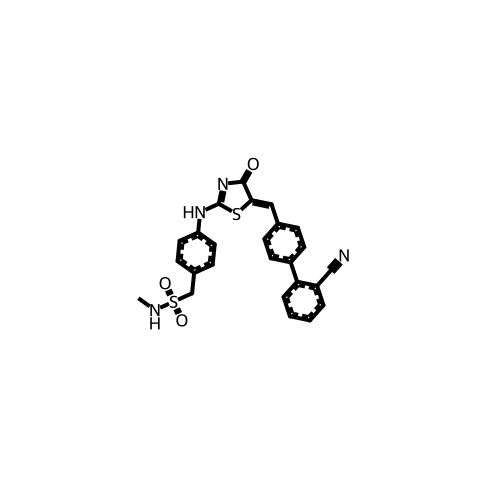 CNS(=O)(=O)Cc1ccc(NC2=NC(=O)C(=Cc3ccc(-c4ccccc4C#N)cc3)S2)cc1